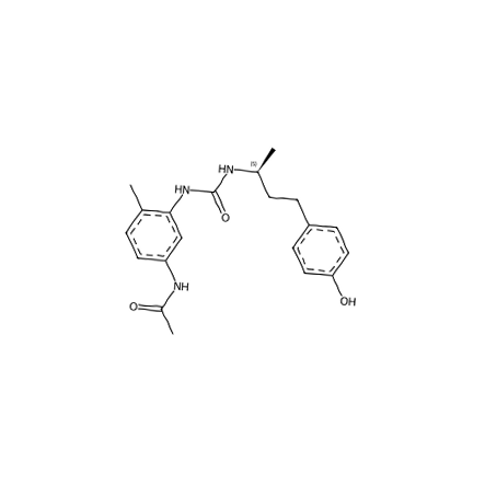 CC(=O)Nc1ccc(C)c(NC(=O)N[C@@H](C)CCc2ccc(O)cc2)c1